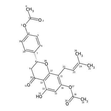 CC(=O)Oc1ccc([C@H]2CC(=O)c3c(O)cc(OC(C)=O)c(CC=C(C)C)c3O2)cc1